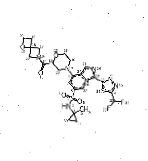 CC1(NS(=O)(=O)c2cc(N3CCO[C@H](C(=O)N4CC5(CCO5)C4)C3)c3cnc(-c4nnc(C(F)F)s4)n3c2)CC1